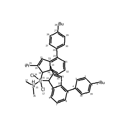 CCC(C)c1ccc(-c2cccc3c2C=C(C)[CH]3[Zr]([Cl])([Cl])([CH]2C(C(C)C)=Cc3c(-c4ccc(C(C)CC)cc4)cccc32)[SiH](C)C)cc1